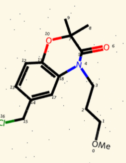 COCCCN1C(=O)C(C)(C)Oc2ccc(CCl)cc21